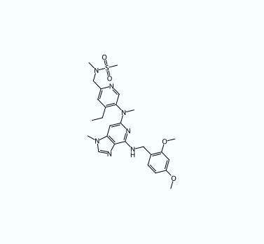 CCc1cc(CN(C)S(C)(=O)=O)ncc1N(C)c1cc2c(ncn2C)c(NCc2ccc(OC)cc2OC)n1